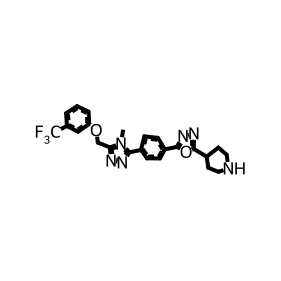 Cn1c(COc2cccc(C(F)(F)F)c2)nnc1-c1ccc(-c2nnc(C3CCNCC3)o2)cc1